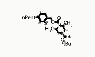 CCCCCc1ccc(COC(=O)N2[C@H](C)CN(C(=O)OC(C)(C)C)C[C@@H]2C)c(F)c1